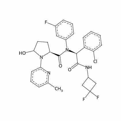 Cc1cccc(N2C(O)CC[C@H]2C(=O)N(c2cccc(F)c2)[C@H](C(=O)NC2CC(F)(F)C2)c2ccccc2Cl)n1